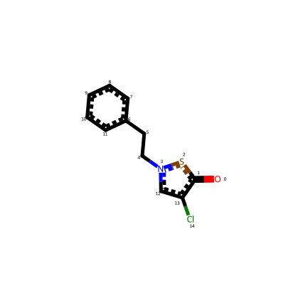 O=c1sn(CCc2ccccc2)cc1Cl